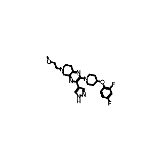 COCCN1CCc2nc(N3CCC(Oc4ccc(F)cc4F)CC3)c(-c3cn[nH]c3)nc2C1